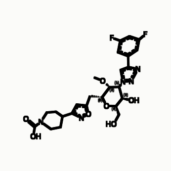 CO[C@@H]1[C@@H](n2cc(-c3cc(F)cc(F)c3)nn2)[C@@H](O)[C@@H](CO)O[C@@H]1Cc1cc(C2CCN(C(=O)O)CC2)no1